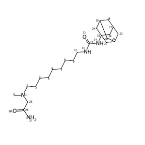 CN(CCCCCCCCCNC(=O)NC12CC3CC(CC(C3)C1)C2)CC(N)=O